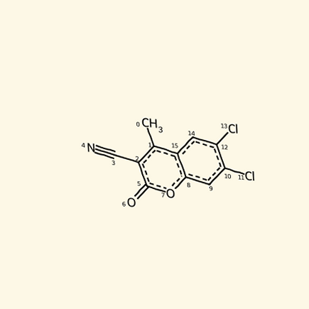 Cc1c(C#N)c(=O)oc2cc(Cl)c(Cl)cc12